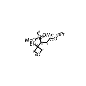 CCCOCCC(C1(CC)COC1)[Si](C)(OC)OC